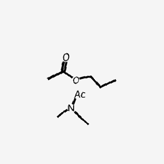 CC(=O)N(C)C.CCCOC(C)=O